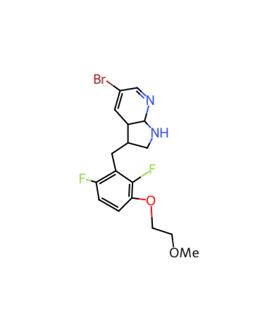 COCCOc1ccc(F)c(CC2CNC3N=CC(Br)=CC23)c1F